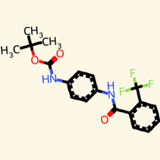 CC(C)(C)OC(=O)Nc1ccc(NC(=O)c2ccccc2C(F)(F)F)cc1